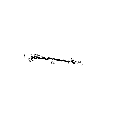 C=CC(=O)OCCCCCCCCCCCCCC[N+](C)(C)C.[Br-]